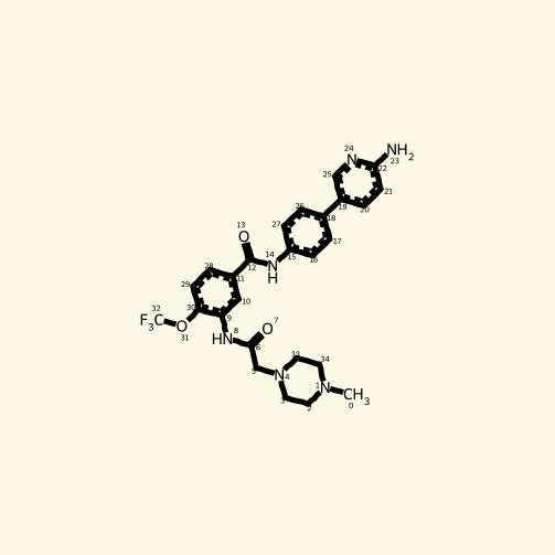 CN1CCN(CC(=O)Nc2cc(C(=O)Nc3ccc(-c4ccc(N)nc4)cc3)ccc2OC(F)(F)F)CC1